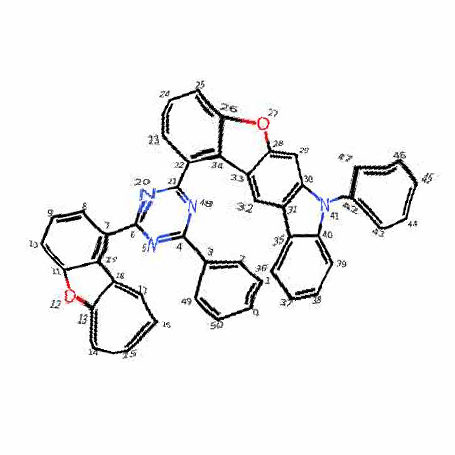 c1ccc(-c2nc(-c3cccc4oc5ccccc5c34)nc(-c3cccc4oc5cc6c(cc5c34)c3ccccc3n6-c3ccccc3)n2)cc1